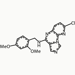 COc1ccc(CNc2nc3ccc(Cl)nc3n3cncc23)c(OC)c1